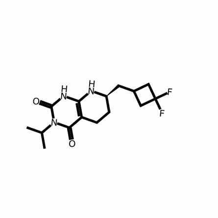 CC(C)n1c(=O)[nH]c2c(c1=O)CC[C@H](CC1CC(F)(F)C1)N2